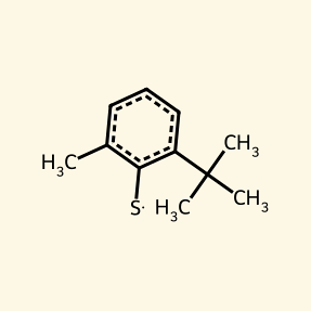 Cc1cccc(C(C)(C)C)c1[S]